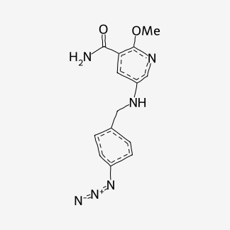 COc1ncc(NCc2ccc(N=[N+]=[N-])cc2)cc1C(N)=O